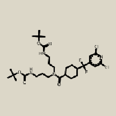 CC(C)(C)OC(=O)NCCCN(CCCNC(=O)OC(C)(C)C)C(=O)C1CCC(C(F)(F)c2cc(Cl)nc(Cl)c2)CC1